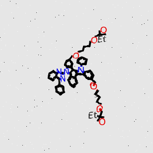 CCC1(COCCCCCOCc2ccc3c(c2)c2c(c4ccccc4c4c5cc(COCCCCCOCC6(CC)COC6)ccc5n(-c5ccccc5)c42)n3-c2nc(-c3ccccc3)c3ccccc3n2)COC1